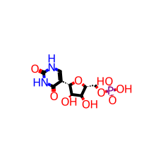 O=c1[nH]cc([C@@H]2O[C@H](COP(=O)(O)O)C(O)[C@H]2O)c(=O)[nH]1